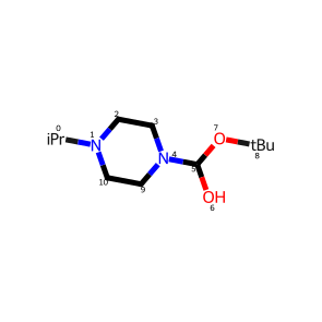 CC(C)N1CCN(C(O)OC(C)(C)C)CC1